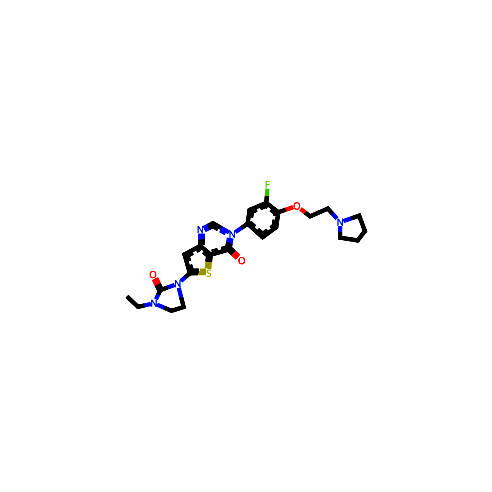 CCN1CCN(c2cc3ncn(-c4ccc(OCCN5CCCC5)c(F)c4)c(=O)c3s2)C1=O